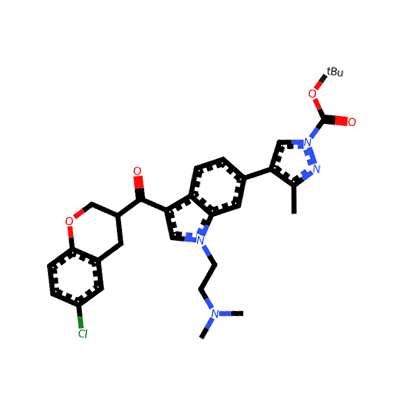 Cc1nn(C(=O)OC(C)(C)C)cc1-c1ccc2c(C(=O)C3COc4ccc(Cl)cc4C3)cn(CCN(C)C)c2c1